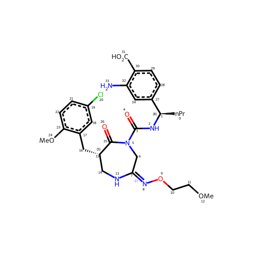 CCC[C@@H](NC(=O)N1C/C(=N\OCCOC)NC[C@H](Cc2cc(Cl)ccc2OC)C1=O)c1ccc(C(=O)O)c(N)c1